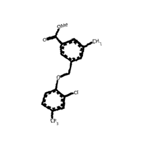 COC(=O)c1cc(C)cc(COc2ccc(C(F)(F)F)cc2Cl)c1